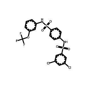 O=S(=O)(Nc1cccc(OC(F)(F)F)c1)c1ccc(NS(=O)(=O)c2cc(Cl)cc(Cl)c2)cc1